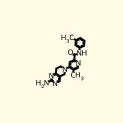 Cc1cccc(NC(=O)c2cc(N3CCc4nc(N)ncc4C3)c(C)cn2)c1